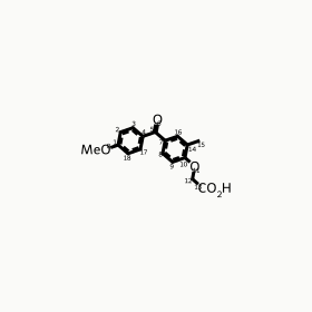 COc1ccc(C(=O)c2ccc(OCC(=O)O)c(C)c2)cc1